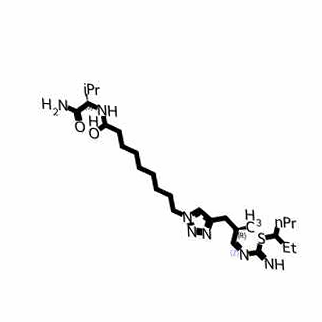 CCCC(CC)SC(=N)/N=C\[C@H](C)Cc1cn(CCCCCCCCC(O)N[C@H](C(N)=O)C(C)C)nn1